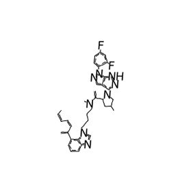 C=C(/C=C\C=C/C)c1cccc2ncn(CCCCN(C)C(=C)C3CC(C)CN3c3n[nH]c4c3cnn4-c3ccc(F)cc3F)c12